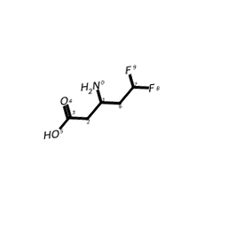 NC(CC(=O)O)CC(F)F